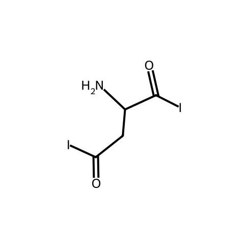 NC(CC(=O)I)C(=O)I